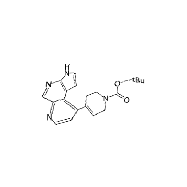 CC(C)(C)OC(=O)N1CC=C(c2ccnc3cnc4[nH]ccc4c23)CC1